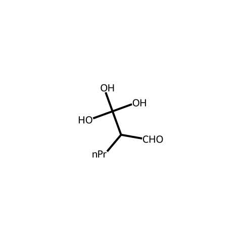 CCCC(C=O)C(O)(O)O